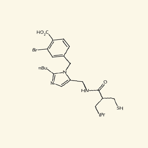 CCCCc1ncc(CNC(=O)C(CS)CC(C)C)n1Cc1ccc(C(=O)O)c(Br)c1